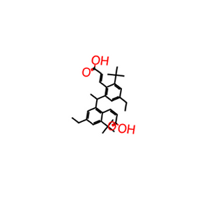 CCc1cc(C(C)c2cc(CC)cc(C(C)(C)C)c2C=CC(=O)O)c(C=CC(=O)O)c(C(C)(C)C)c1